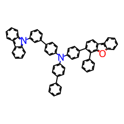 c1ccc(-c2ccc(N(c3ccc(-c4cccc(-n5c6ccccc6c6ccccc65)c4)cc3)c3ccc(-c4ccc5c(oc6ccccc65)c4-c4ccccc4)cc3)cc2)cc1